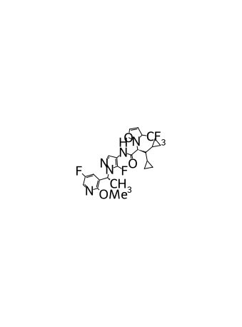 COc1ncc(F)cc1[C@H](C)n1ncc(NC(=O)[C@H](C(C2CC2)C2CC2)N2OC=CC2C(F)(F)F)c1F